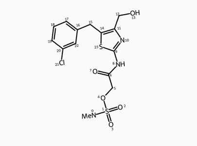 CNS(=O)(=O)OCC(=O)Nc1nc(CO)c(Cc2cccc(Cl)c2)s1